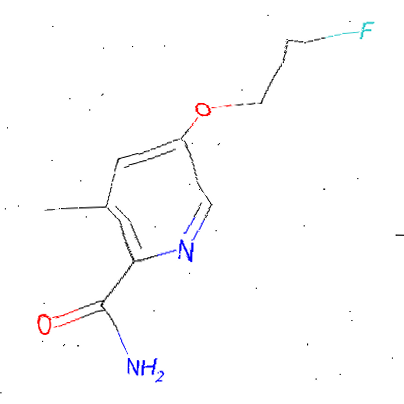 Cc1cc(OCCF)cnc1C(N)=O